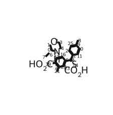 C1COCCN1.CC.Cc1ccc(C(=S)c2ccc(C(=O)O)c(C)c2C(=O)O)cc1